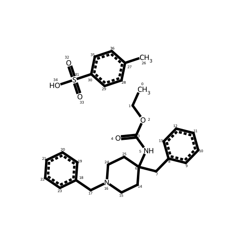 CCOC(=O)NC1(Cc2ccccc2)CCN(Cc2ccccc2)CC1.Cc1ccc(S(=O)(=O)O)cc1